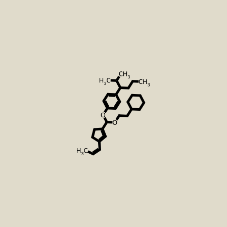 C/C=C\C1=C=C(C(OCCC2CCCCC2)Oc2ccc(C(CCC)C(C)C)cc2)CC1